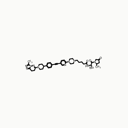 CC1CC(=O)CN1C(=O)C(NC(=O)CCCCN1CCN(c2ccc(C#Cc3ccc(C4CCN(C5=Nn6c(nnc6C(F)(F)F)CC5)CC4)cc3)cn2)CC1)C(C)(C)C